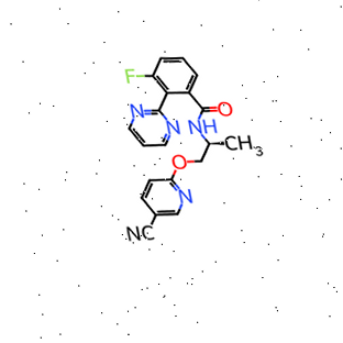 C[C@@H](COc1ccc(C#N)cn1)NC(=O)c1cccc(F)c1-c1ncccn1